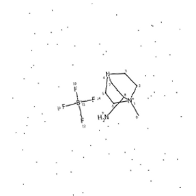 C[N+]12CCN(CC1)CC2N.F[B-](F)(F)F